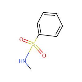 CNS(=O)(=O)c1cc[c]cc1